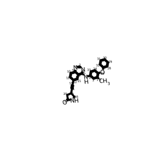 Cc1cc(Nc2ncnc3ccc(C#CC4CNC(=O)C4)cc23)ccc1Oc1ccccc1